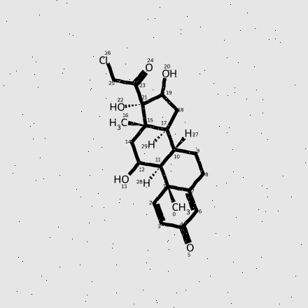 C[C@]12C=CC(=O)C=C1CC[C@@H]1[C@@H]2C(O)C[C@@]2(C)[C@H]1CC(O)[C@]2(O)C(=O)CCl